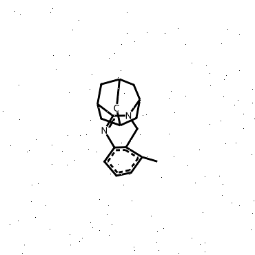 Cc1cccc2c1CN1C(=N2)C2CC3CC(C2)CC1C3